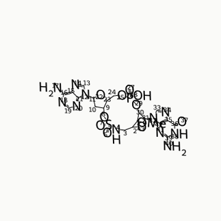 COC1C2CNS(=O)(=O)OC3CC(n4cnc5c(N)ncnc54)OC3COP(=O)(O)OC1C(n1cnc3c(=O)[nH]c(N)nc31)O2